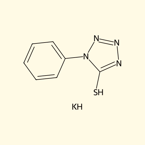 Sc1nnnn1-c1ccccc1.[KH]